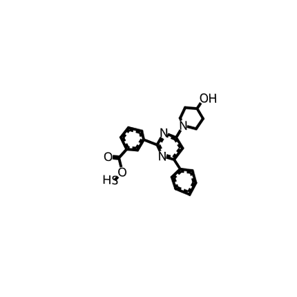 O=C(OS)c1cccc(-c2nc(-c3ccccc3)cc(N3CCC(O)CC3)n2)c1